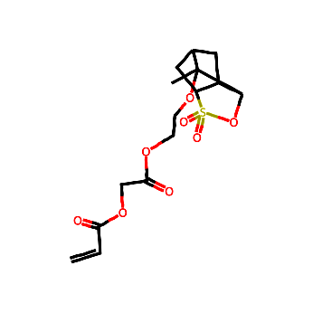 C=CC(=O)OCC(=O)OCCOC1(C)C2CC3C1OS(=O)(=O)C3C2